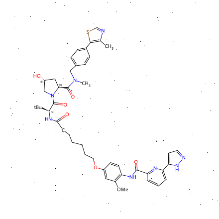 COc1cc(OCCCCCCC(=O)N[C@H](C(=O)N2C[C@H](O)C[C@H]2C(=O)N(C)Cc2ccc(-c3scnc3C)cc2)C(C)(C)C)ccc1NC(=O)c1cccc(-c2ccn[nH]2)n1